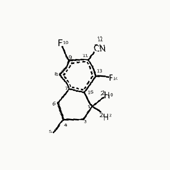 [2H]C1([2H])CC(C)Cc2cc(F)c(C#N)c(F)c21